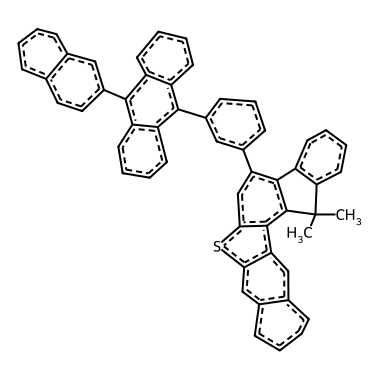 CC1(C)c2ccccc2-c2c(-c3cccc(-c4c5ccccc5c(-c5ccc6ccccc6c5)c5ccccc45)c3)cc3sc4cc5ccccc5cc4c3c21